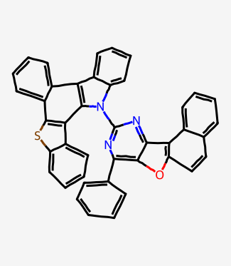 c1ccc(-c2nc(-n3c4ccccc4c4c5ccccc5c5sc6ccccc6c5c43)nc3c2oc2ccc4ccccc4c23)cc1